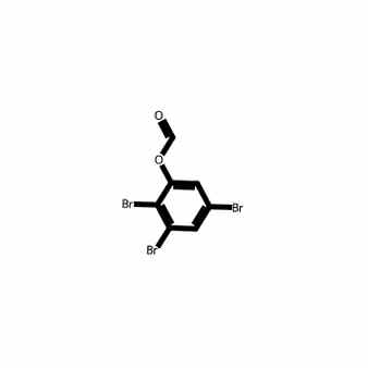 O=COc1cc(Br)cc(Br)c1Br